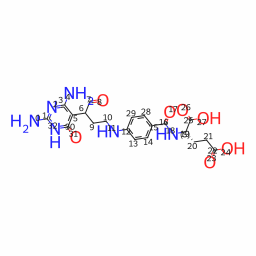 Nc1nc(N)c(C(C=O)CCNc2ccc(C(=O)N[C@@H](CCC(=O)O)C(=O)O)cc2)c(=O)[nH]1